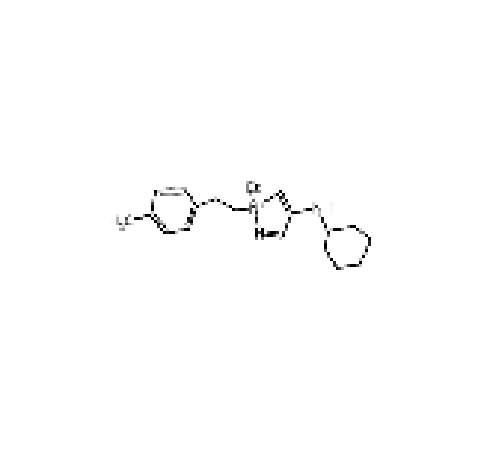 CC[N+]1(CCc2ccc(C)cc2)C=C(NC2CCCCC2)C=N1